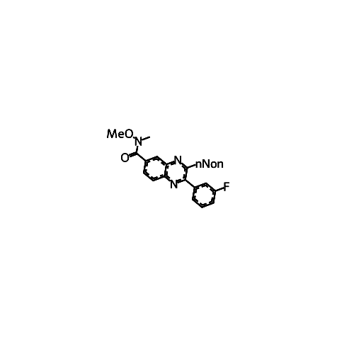 CCCCCCCCCc1nc2cc(C(=O)N(C)OC)ccc2nc1-c1cccc(F)c1